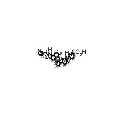 Cc1ccc2c(NC(=O)CC3CC4CCC3C4)cccc2c1Oc1ncccc1-c1ccnc(NC2CCCN(C(=O)O)C2)n1